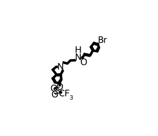 O=C(C=Cc1ccc(Br)cc1)NCCCCN1CCc2ccc(OS(=O)(=O)C(F)(F)F)cc2C1